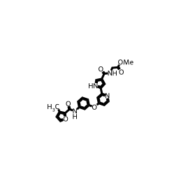 COC(=O)CNC(=O)c1c[nH]c(-c2cc(Oc3cccc(NC(=O)c4occc4C)c3)ccn2)c1